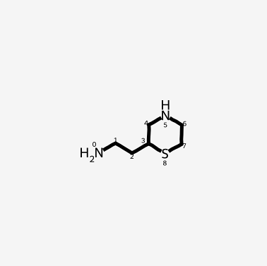 NCCC1CNCCS1